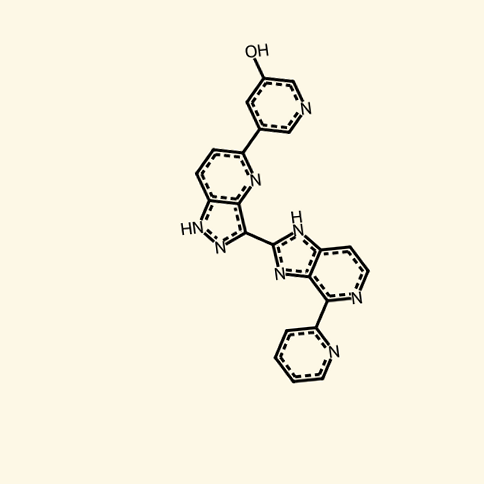 Oc1cncc(-c2ccc3[nH]nc(-c4nc5c(-c6ccccn6)nccc5[nH]4)c3n2)c1